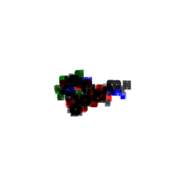 CP(=O)(O)CCC(N)C(=O)O.CS(=O)(=O)c1ccc(C(=O)C2C(=O)CCCC2=O)c(Cl)c1.Cc1nn(-c2cc(NS(C)(=O)=O)c(Cl)cc2Cl)c(=O)n1C(F)F